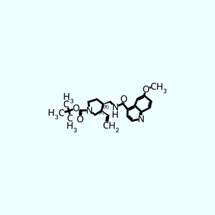 C=C[C@H]1CN(C(=O)OC(C)(C)C)CC[C@H]1CNC(=O)c1ccnc2ccc(OC)cc12